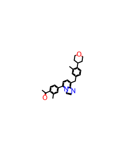 CC(=O)c1ccc(-c2ccc(Cc3ccc(C4CCOCC4)c(C)c3)c3nccn23)cc1C